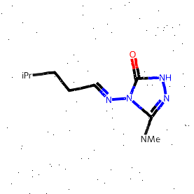 CNc1n[nH]c(=O)n1N=CCCC(C)C